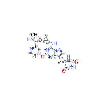 CNC(=O)c1cc(Oc2nc(NC3CC3)n3ncc(/C=C4\NC(=O)NC4=O)c3n2)ccn1